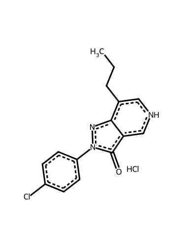 CCCc1c[nH]cc2c(=O)n(-c3ccc(Cl)cc3)nc1-2.Cl